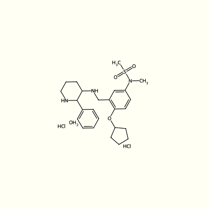 CN(c1ccc(OC2CCCC2)c(CNC2CCCNC2c2ccccc2)c1)S(C)(=O)=O.Cl.Cl.O